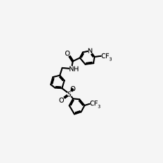 O=C(NCc1cccc(S(=O)(=O)c2cccc(C(F)(F)F)c2)c1)c1ccc(C(F)(F)F)nc1